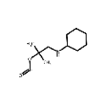 CC(C)(CNC1CCCCC1)O[C]=O